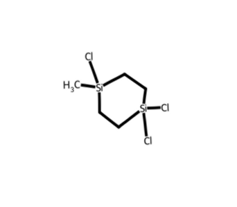 C[Si]1(Cl)CC[Si](Cl)(Cl)CC1